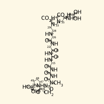 C=C(NC(=O)N(C)C(=O)NC(=O)NC(=O)CNC(=O)NC(=O)CNC(=O)CNCCN(CC(=O)O)CN(CCNCC(O)O)CC(=O)O)C(=O)N1CCCC1B(O)O